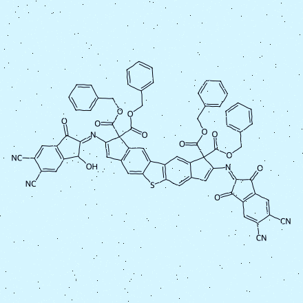 N#Cc1cc2c(cc1C#N)C(O)/C(=N\C1=Cc3cc4sc5cc6c(cc5c4cc3C1(C(=O)OCc1ccccc1)C(=O)OCc1ccccc1)C(C(=O)OCc1ccccc1)(C(=O)OCc1ccccc1)C(N=c1c(=O)c3cc(C#N)c(C#N)cc3c1=O)=C6)C2=O